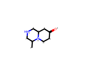 CC1CNCC2CC(=O)CCN12